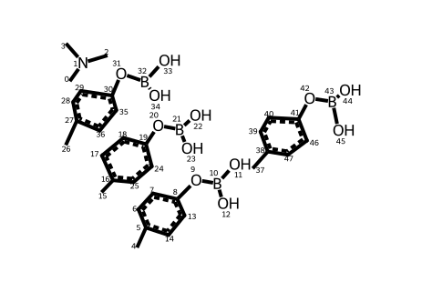 CN(C)C.Cc1ccc(OB(O)O)cc1.Cc1ccc(OB(O)O)cc1.Cc1ccc(OB(O)O)cc1.Cc1ccc(OB(O)O)cc1